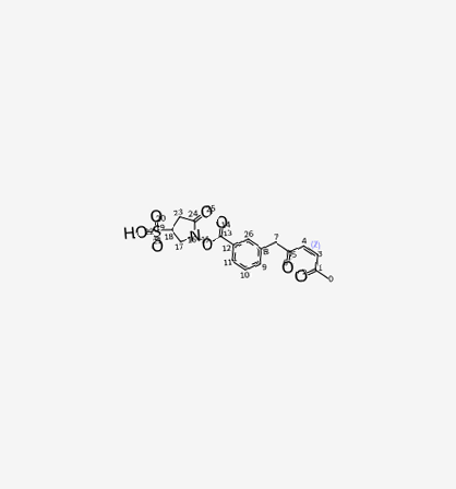 CC(=O)/C=C\C(=O)Cc1cccc(C(=O)ON2CC(S(=O)(=O)O)CC2=O)c1